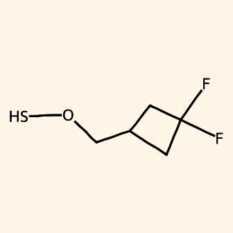 FC1(F)CC(COS)C1